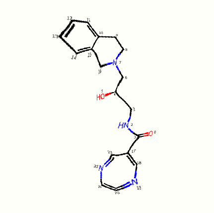 O=C(NC[C@@H](O)CN1CCc2ccccc2C1)C1=CN=C=CN=C1